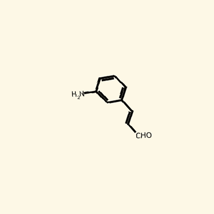 Nc1cccc(/C=C/C=O)c1